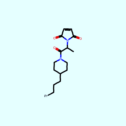 CC(C)CCCC1CCN(C(=O)C(C)N2C(=O)C=CC2=O)CC1